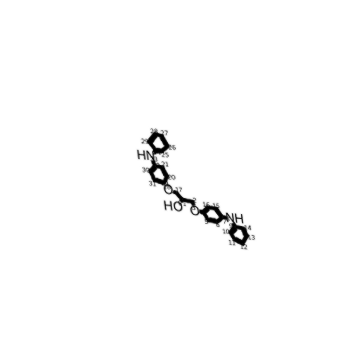 OC(COc1ccc(Nc2ccccc2)cc1)COc1ccc(Nc2ccccc2)cc1